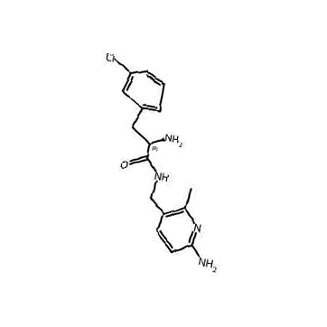 Cc1nc(N)ccc1CNC(=O)[C@H](N)Cc1cccc(Cl)c1